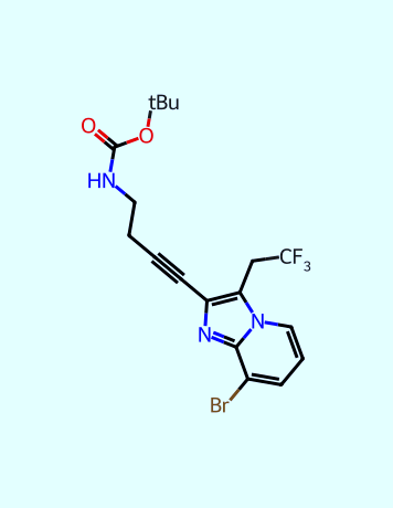 CC(C)(C)OC(=O)NCCC#Cc1nc2c(Br)cccn2c1CC(F)(F)F